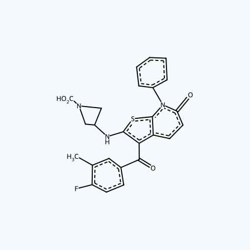 Cc1cc(C(=O)c2c(NC3CN(C(=O)O)C3)sc3c2ccc(=O)n3-c2ccccc2)ccc1F